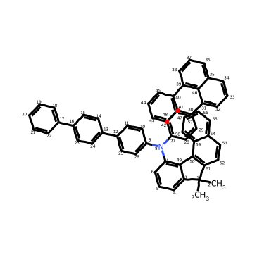 CC1(C)c2cccc(N(c3ccc(-c4ccc(-c5ccccc5)cc4)cc3)c3ccc(-c4cccc5cccc(-c6ccccc6)c45)cc3)c2-c2c1ccc1ccccc21